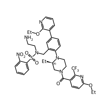 CCOc1ccc(C(=O)N2CCN(c3ccc(-c4cccnc4OCC)cc3CN(CCN)S(=O)(=O)c3ccccc3[N+](=O)[O-])[C@H](CC)C2)c(C(F)(F)F)n1